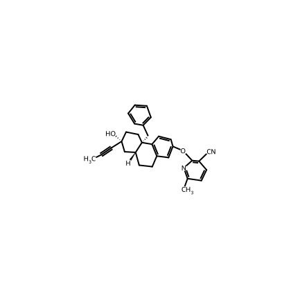 CC#C[C@@]1(O)CC[C@@]2(Cc3ccccc3)c3ccc(Oc4nc(C)ccc4C#N)cc3CC[C@@H]2C1